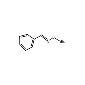 CCC(C)O/N=[C]/c1ccccc1